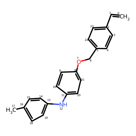 C=Cc1ccc(COc2ccc(Nc3ccc(C)cc3)cc2)cc1